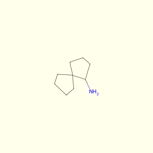 NC1CCCC12CCCC2